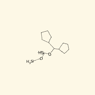 [SiH3]O[SiH]OC(C1CCCC1)C1CCCC1